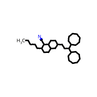 CCCCCC1CCC2CC(CCC(C3CCCCCCC3)C3CCCCCCC3)CCC2C1C#N